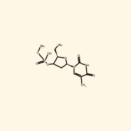 Cc1cn([C@H]2CC(OP(=O)(O)OC(C)(C)C)[C@@H](CC(C)(C)C)O2)c(=O)[nH]c1=O